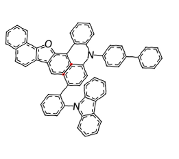 c1ccc(-c2ccc(N(c3ccc(-c4ccccc4-n4c5ccccc5c5ccccc54)cc3)c3ccccc3-c3cccc4c3oc3c5ccccc5ccc43)cc2)cc1